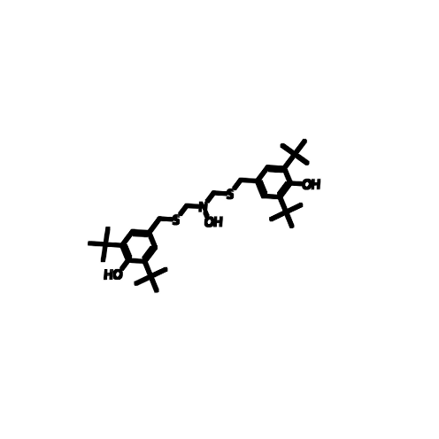 CC(C)(C)c1cc(CSCN(O)CSCc2cc(C(C)(C)C)c(O)c(C(C)(C)C)c2)cc(C(C)(C)C)c1O